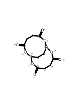 O=C1CCC(=O)ON2CCN(O1)OC(=O)CCC(=O)O2